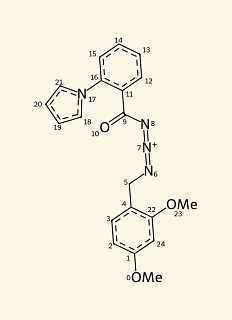 COc1ccc(CN=[N+]=NC(=O)c2ccccc2-n2cccc2)c(OC)c1